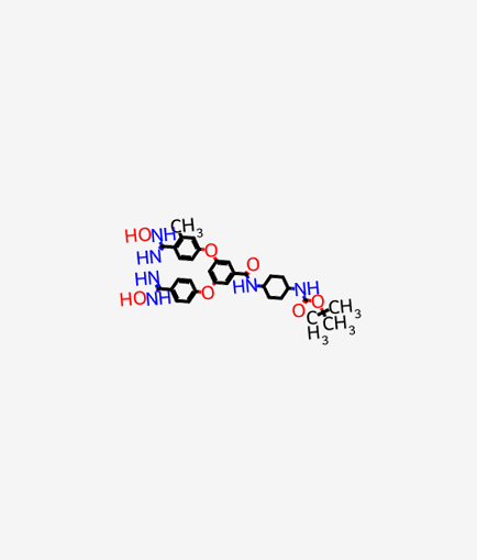 Cc1cc(Oc2cc(Oc3ccc(C(=N)NO)cc3)cc(C(=O)NC3CCC(NC(=O)OC(C)(C)C)CC3)c2)ccc1C(=N)NO